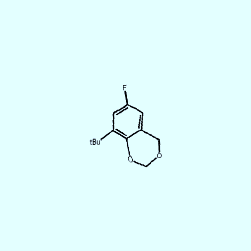 CC(C)(C)c1cc(F)cc2c1OCOC2